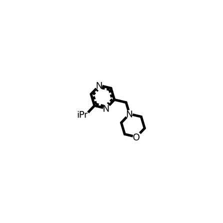 CC(C)c1cncc(CN2CCOCC2)n1